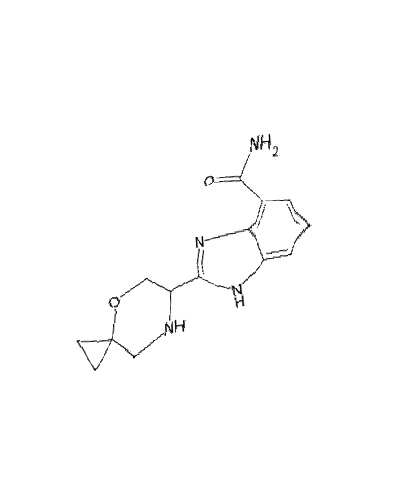 NC(=O)c1cccc2[nH]c(C3COC4(CC4)CN3)nc12